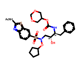 CC(=O)Nc1nc2ccc(S(=O)(=O)N(C[C@@H](O)[C@H](Cc3ccccc3)NC(=O)OC3COCOC3)OC3CCCC3)cc2s1